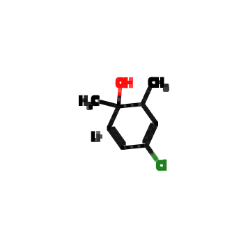 CC1C=C(Cl)C=CC1(C)O.[Li]